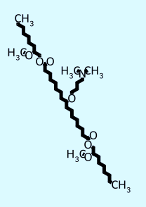 CCCCCCCC(COC(=O)CCCCCCCC(CCCCCCCC(=O)OCC(CCCCCCC)OC)OCCCCN(C)C)OC